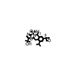 CC(C)c1cc(C2(F)COC2)cc(C(C)C)c1CC(=O)N=S(N)(=O)c1ncc(C(C)(C)O)s1